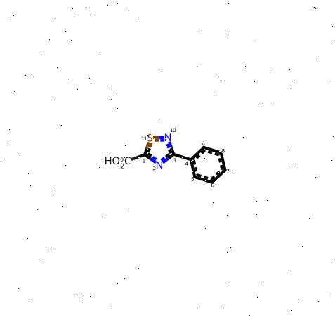 O=C(O)c1nc(-c2ccccc2)ns1